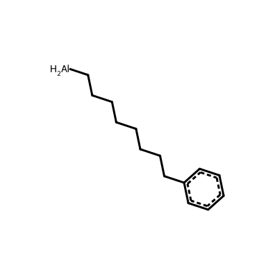 [AlH2][CH2]CCCCCCCc1ccccc1